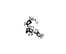 Nc1ccc(CNc2cccc3c2CN(C2CCC(=O)NC2=O)C3=O)c(F)c1